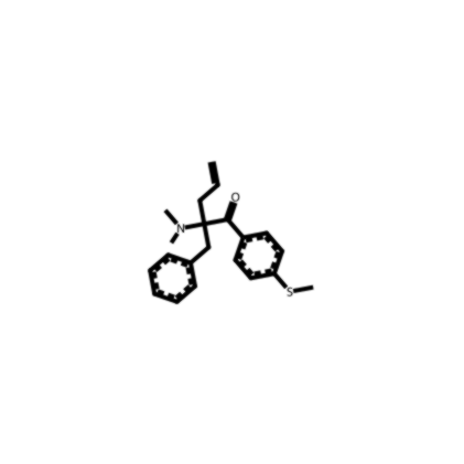 C=CCC(Cc1ccccc1)(C(=O)c1ccc(SC)cc1)N(C)C